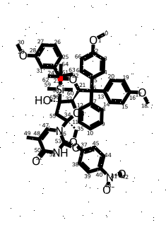 COc1ccc(C(c2ccccc2)(c2ccc(OC)cc2)C(OCc2cccc(OC)c2)[C@H]2O[C@@](COc3ccc([N+](=O)[O-])cc3)(n3cc(C)c(=O)[nH]c3=O)C[C@@]2(O)[Si](C)(C)C(C)(C)C)cc1